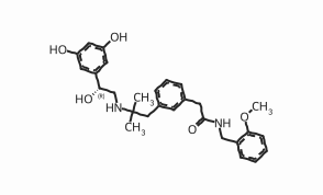 COc1ccccc1CNC(=O)Cc1cccc(CC(C)(C)NC[C@H](O)c2cc(O)cc(O)c2)c1